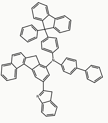 c1ccc(-c2ccc(N(c3ccc(C4(c5ccccc5)c5ccccc5-c5ccccc54)cc3)c3cc(C4=Nc5ccccc5C4)cc4c3Cc3ccc5ccccc5c3-4)cc2)cc1